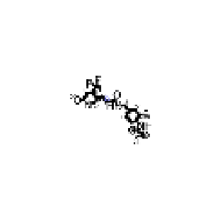 COc1cc(C(F)(F)F)c(/C=C/C(=O)NCc2ccc(NS(C)(=O)=O)c(F)c2)cn1